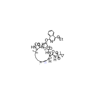 CCOc1cnc(O[C@@H]2C[C@H]3C(=O)N[C@]4(C(=O)NS(=O)(=O)C5(C)CC5)C[C@H]4/C=C\[C@H](C)CCC[C@@H](C)[C@H](NC(=O)O)C(=O)N3C2)c2ccccc12